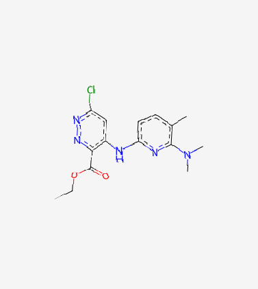 CCOC(=O)c1nnc(Cl)cc1Nc1ccc(C)c(N(C)C)n1